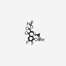 COc1c(F)c(F)cc2c(=O)c(C(=O)OB(F)F)cn(C3C[C@@H]3F)c12